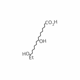 CCC(O)CCCCCCC(O)CCCCCCCC(=O)O